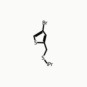 CC(C)SCc1cc(Br)cs1